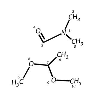 CN(C)C=O.COC(C)OC